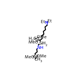 CCN(CC)CCCCCCCC([SiH2]CNCCC[Si](C)(OC)OC)[Si](C)(OC)OC